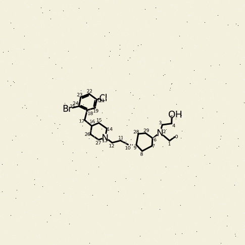 CCN(CCO)[C@H]1CC[C@H](CCCN2CCC(Cc3cc(Cl)ccc3Br)CC2)CC1